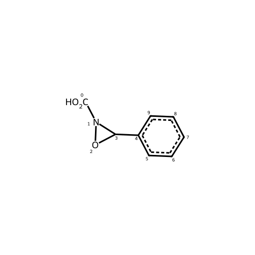 O=C(O)N1OC1c1ccccc1